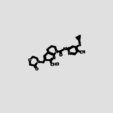 N#Cc1cnc(NC(=O)N2CCCc3cc(CN4CCOCC4=O)c(C=O)nc32)cc1SC1CC1